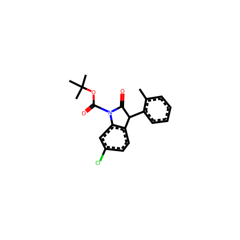 Cc1ccccc1C1C(=O)N(C(=O)OC(C)(C)C)c2cc(Cl)ccc21